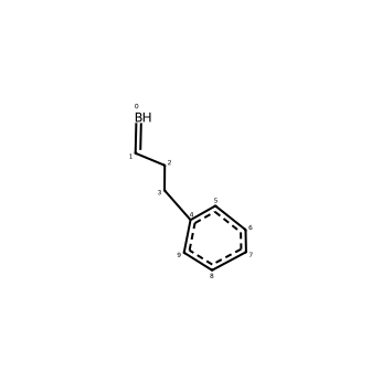 B=CCCc1ccccc1